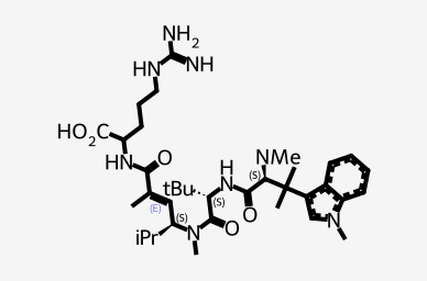 CN[C@H](C(=O)N[C@H](C(=O)N(C)[C@H](/C=C(\C)C(=O)NC(CCCNC(=N)N)C(=O)O)C(C)C)C(C)(C)C)C(C)(C)c1cn(C)c2ccccc12